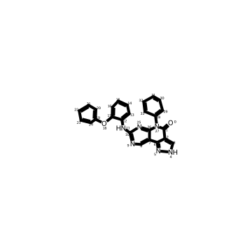 O=c1c2c[nH]nc2c2cnc(Nc3ccccc3Oc3ccccc3)nc2n1-c1ccccc1